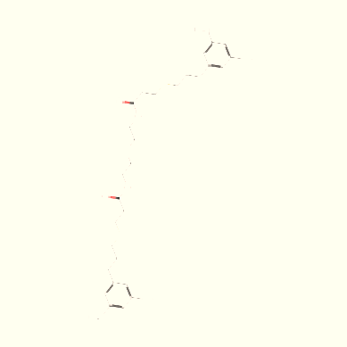 CC(C)(C)c1cc(CCCSCCC(=O)OCCOCCOC(=O)CCSCCCc2cc(C(C)(C)C)cc(C(C)(C)C)c2)cc(C(C)(C)C)c1